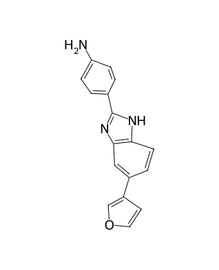 Nc1ccc(-c2nc3cc(-c4ccoc4)ccc3[nH]2)cc1